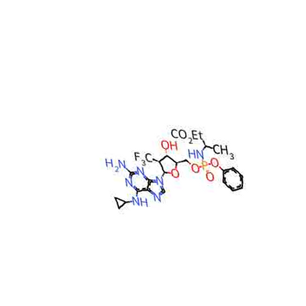 CCOC(=O)[C@@H](C)NP(=O)(OC[C@H]1O[C@@H](n2cnc3c(NC4CC4)nc(N)nc32)[C@@H](C(F)(F)F)[C@@H]1O)Oc1ccccc1